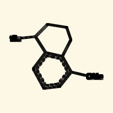 COc1cccc2c1CCCC2C(C)(C)C